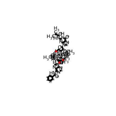 COP1(=O)OC[C@H]2O[C@@H](n3cnc4c(=O)[nH]c(NC(=O)C(C)C)nc43)C(OP(C)(=O)OC[C@H]3O[C@@H](n4cnc5c(NC(=O)c6ccccc6)ncnc54)C(O1)[C@H]3C)[C@H]2O[Si](C)(C)C(C)(C)C